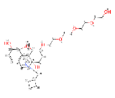 OCCOCCOCCOCCOC1CC[C@@]2(O)C3Cc4ccc(O)c5c4[C@@]2(CCN3CC2CCC2)[C@H]1O5